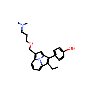 CCc1c(-c2ccc(O)cc2)c2cc(COCCCN(C)C)c3cccc1n32